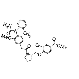 COC(=O)c1ccc(OCC2CCCN2C(=O)Cc2ccc(N(C(N)=O)c3ccccc3C)c(OC)c2)c(Cl)c1